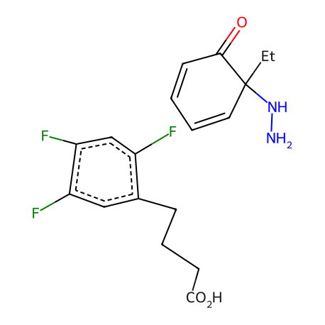 CCC1(NN)C=CC=CC1=O.O=C(O)CCCc1cc(F)c(F)cc1F